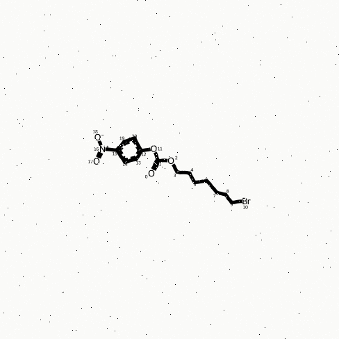 O=C(OCCCCCCCBr)Oc1ccc([N+](=O)[O-])cc1